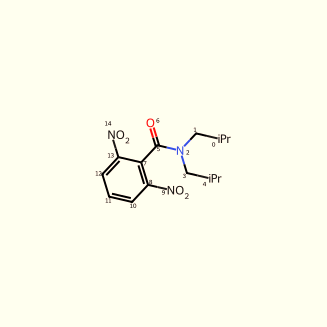 CC(C)CN(CC(C)C)C(=O)c1c([N+](=O)[O-])cccc1[N+](=O)[O-]